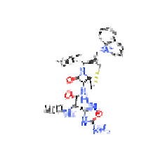 CO/N=C(\C(=O)NC1C(=O)N2C(C(=O)[O-])=C(C[n+]3cccc4ccccc43)CS[C@H]12)c1noc(N)n1